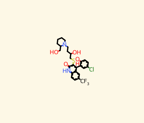 O=c1[nH]c2ccc(C(F)(F)F)cc2c(-c2cc(Cl)ccc2O)c1SCC(O)CCN1CCCCC1CO